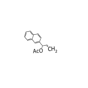 C=CC(OC(C)=O)c1ccc2ccccc2c1